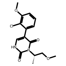 COC[C@H](C)n1c(=O)[nH]cc(-c2cccc(OC)c2Cl)c1=O